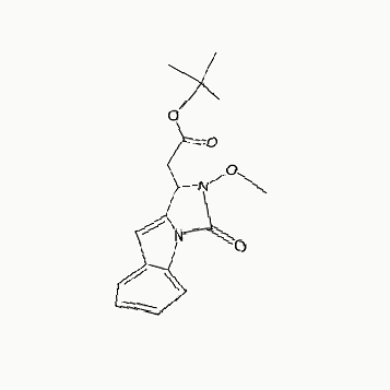 CON1C(=O)n2c(cc3ccccc32)C1CC(=O)OC(C)(C)C